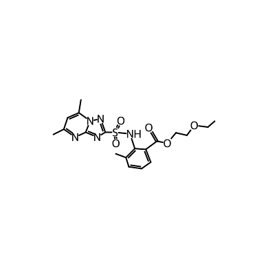 CCOCCOC(=O)c1cccc(C)c1NS(=O)(=O)c1nc2nc(C)cc(C)n2n1